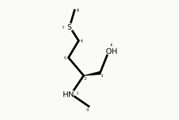 CN[C@H](CO)CCSC